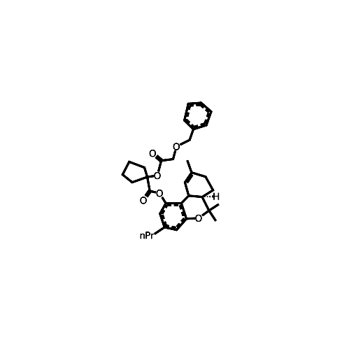 CCCc1cc(OC(=O)C2(OC(=O)COCc3ccccc3)CCCC2)c2c(c1)OC(C)(C)[C@@H]1CCC(C)=CC21